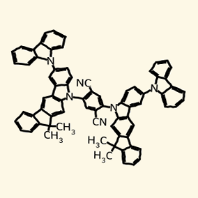 CC1(C)c2ccccc2-c2cc3c4cc(-n5c6ccccc6c6ccccc65)ccc4n(-c4cc(C#N)c(-n5c6ccc(-n7c8ccccc8c8ccccc87)cc6c6cc7c(cc65)C(C)(C)c5ccccc5-7)cc4C#N)c3cc21